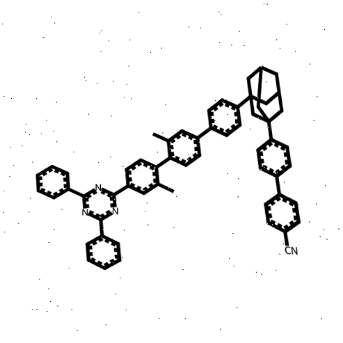 Cc1cc(-c2ccc(C34CC5CC(CC(c6ccc(-c7ccc(C#N)cc7)cc6)(C5)C3)C4)cc2)ccc1-c1ccc(-c2nc(-c3ccccc3)nc(-c3ccccc3)n2)cc1C